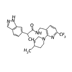 CC1CCN(c2nc(C(F)(F)F)ccc2CNC(=O)C(C)c2ccc3cn[nH]c3c2)CC1